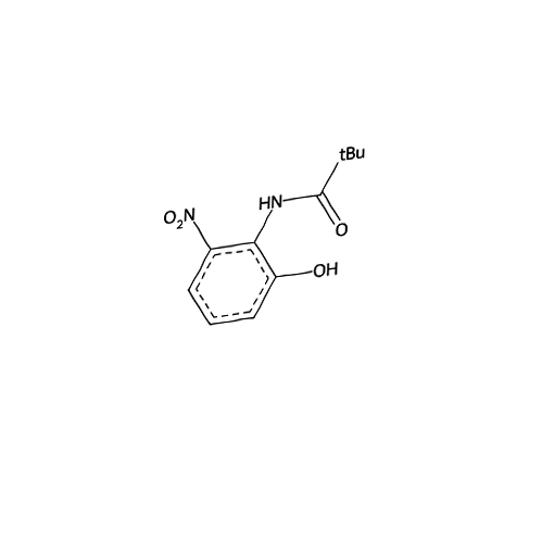 CC(C)(C)C(=O)Nc1c(O)cccc1[N+](=O)[O-]